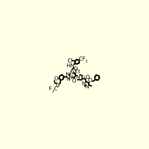 CCc1c(N2CCN(C(=O)c3ncnc(C)c3OCc3ccccc3)CC2)c(=O)n2nc(-c3ccc4c(c3)CN(CC(F)(F)F)CCO4)nc2n1CC(=O)Nc1ccc(C(F)(F)F)cc1Cl